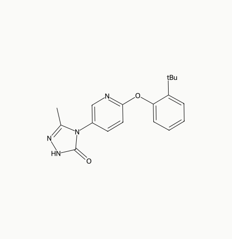 Cc1n[nH]c(=O)n1-c1ccc(Oc2ccccc2C(C)(C)C)nc1